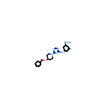 CC(=O)Nc1cc(F)cc(Nc2ncnc(N3CCC(OCc4ccccc4)CC3)n2)c1